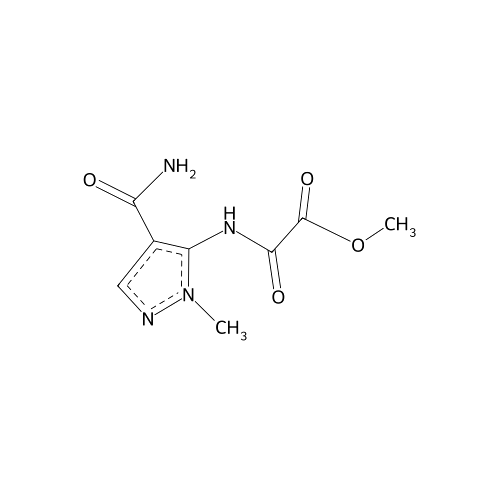 COC(=O)C(=O)Nc1c(C(N)=O)cnn1C